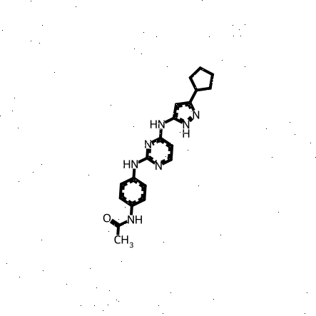 CC(=O)Nc1ccc(Nc2nccc(Nc3cc(C4CCCC4)n[nH]3)n2)cc1